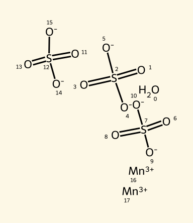 O.O=S(=O)([O-])[O-].O=S(=O)([O-])[O-].O=S(=O)([O-])[O-].[Mn+3].[Mn+3]